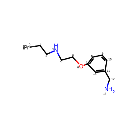 CC(C)CCNCCOc1cccc(CN)c1